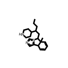 CCCC(CC1n2cncc2C2C=CC=CC21C)C1CCNCC1